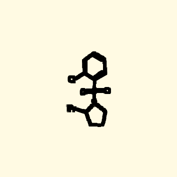 CC(C)C1CCCN1S(=O)(=O)c1ccccc1Cl